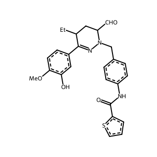 CCC1CC(C=O)N(Cc2ccc(NC(=O)c3cccs3)cc2)N=C1c1ccc(OC)c(O)c1